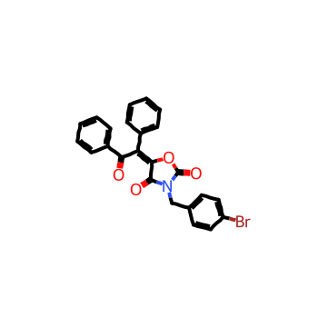 O=C(/C(=C1/OC(=O)N(Cc2ccc(Br)cc2)C1=O)c1ccccc1)c1ccccc1